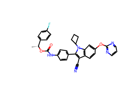 C[C@@H](OC(=O)Nc1ccc(-c2c(C#N)c3ccc(Oc4ncccn4)cc3n2C2CCC2)cc1)c1ccc(F)cc1